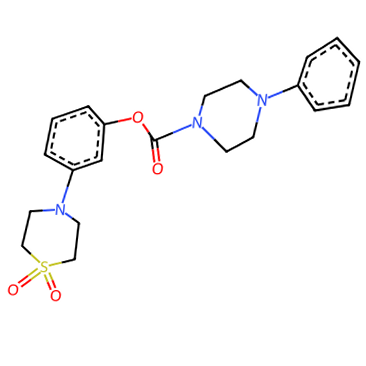 O=C(Oc1cccc(N2CCS(=O)(=O)CC2)c1)N1CCN(c2ccccc2)CC1